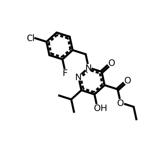 CCOC(=O)c1c(O)c(C(C)C)nn(Cc2ccc(Cl)cc2F)c1=O